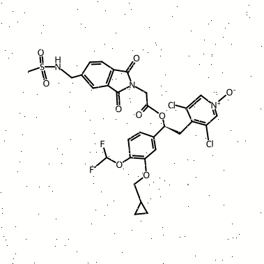 CS(=O)(=O)NCc1ccc2c(c1)C(=O)N(CC(=O)O[C@@H](Cc1c(Cl)c[n+]([O-])cc1Cl)c1ccc(OC(F)F)c(OCC3CC3)c1)C2=O